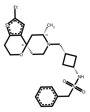 CCc1cc2c(s1)CCO[C@@]21CCN(C[C@H]2C[C@@H](NS(=O)(=O)Cc3ccccc3)C2)[C@@H](C)C1